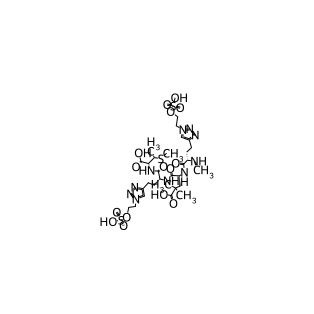 CN[C@@H](CCc1cn(CCOS(=O)(=O)O)nn1)C(=O)N[C@@H](CC(C)(C)C(=O)O)C(=O)N[C@@H](CCc1cn(CCOS(=O)(=O)O)nn1)C(=O)N[C@H](C(=O)O)C(C)SC